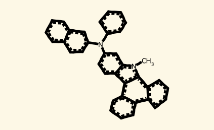 Cn1c2cc(N(c3ccccc3)c3ccc4ccccc4c3)ccc2c2c3ccccc3c3ccccc3c21